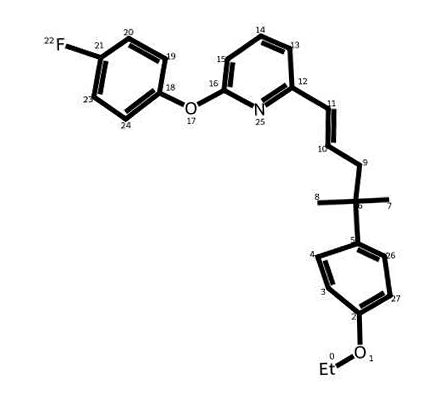 CCOc1ccc(C(C)(C)CC=Cc2cccc(Oc3ccc(F)cc3)n2)cc1